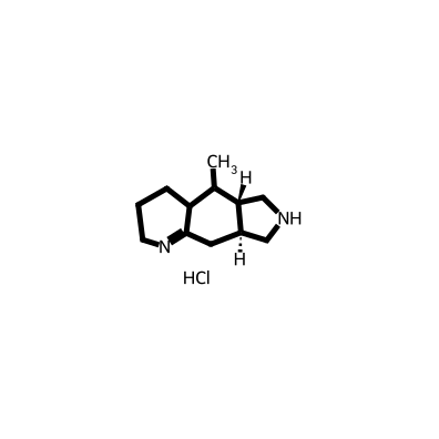 CC1C2CCCN=C2C[C@@H]2CNC[C@@H]12.Cl